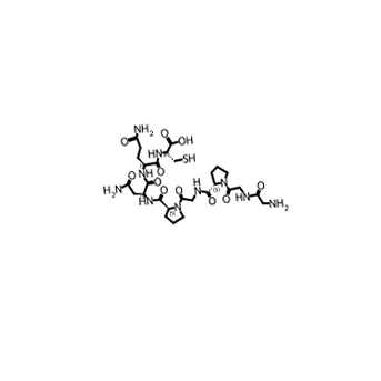 NCC(=O)NCC(=O)N1CCC[C@H]1C(=O)NCC(=O)N1CCC[C@H]1C(=O)N[C@@H](CC(N)=O)C(=O)N[C@@H](CCC(N)=O)C(=O)N[C@@H](CS)C(=O)O